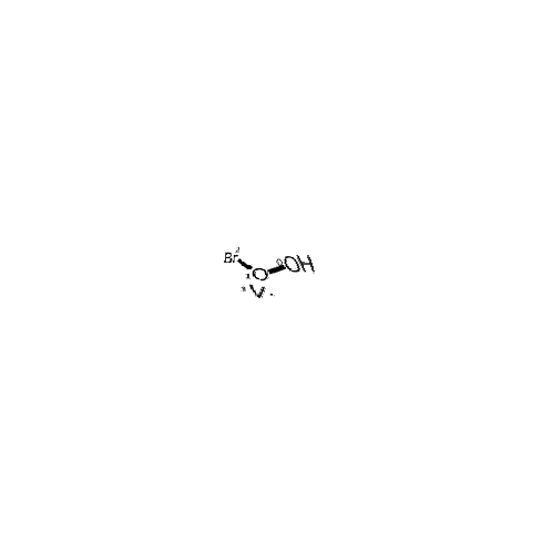 OOBr.[V]